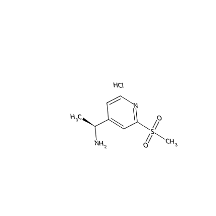 C[C@H](N)c1ccnc(S(C)(=O)=O)c1.Cl